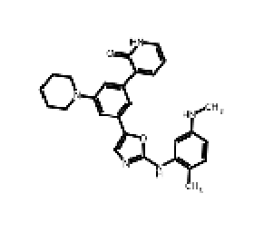 CNc1ccc(C)c(Nc2ncc(-c3cc(-c4ccc[nH]c4=O)cc(N4CCCCC4)c3)o2)c1